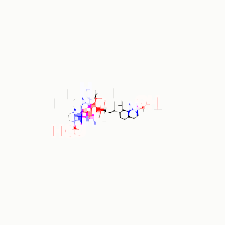 CC(C)[C@H](OC(=O)C(C)(C)/C=C/c1ccc2ccc([C@@H](C)O)nc2c1)C(=O)N[C@@H](C)C(=O)N1CCC[C@@H](C(=O)O)N1